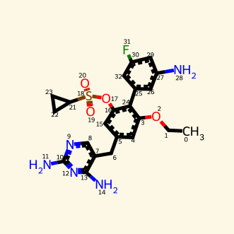 CCOc1cc(Cc2cnc(N)nc2N)cc(OS(=O)(=O)C2CC2)c1-c1cc(N)cc(F)c1